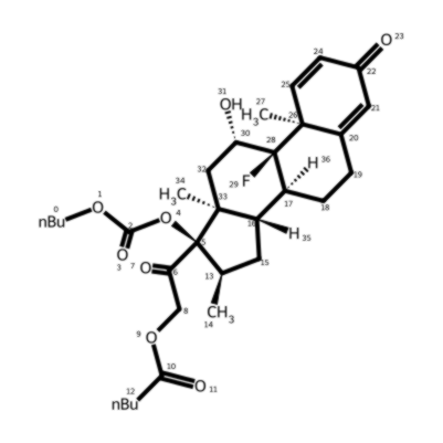 CCCCOC(=O)O[C@]1(C(=O)COC(=O)CCCC)[C@H](C)C[C@H]2[C@@H]3CCC4=CC(=O)C=C[C@]4(C)[C@@]3(F)[C@@H](O)C[C@@]21C